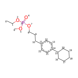 CCOP(=O)(OC)OCCCc1ccc(C2CCCCC2)cc1